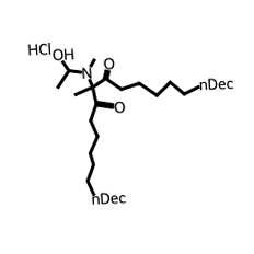 CCCCCCCCCCCCCCCC(=O)C(C)(C(=O)CCCCCCCCCCCCCCC)N(C)C(C)O.Cl